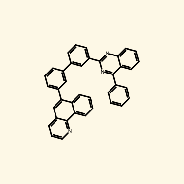 c1ccc(-c2nc(-c3cccc(-c4cccc(-c5cc6cccnc6c6ccccc56)c4)c3)nc3ccccc23)cc1